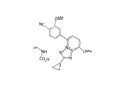 CC(C)NC(=O)O.COc1cc(-c2ccc(OC)c3nc(C4CC4)nn23)ccc1C#N